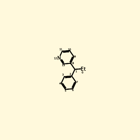 [CH2]CC(c1ccccc1)c1cccnc1